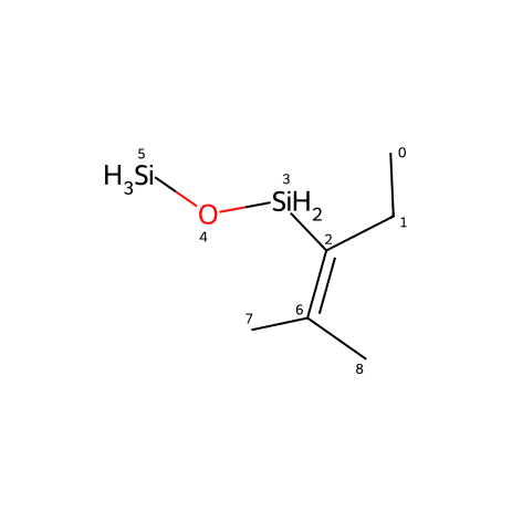 CCC([SiH2]O[SiH3])=C(C)C